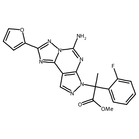 COC(=O)C(C)(c1ccccc1F)n1ncc2c1nc(N)n1nc(-c3ccco3)nc21